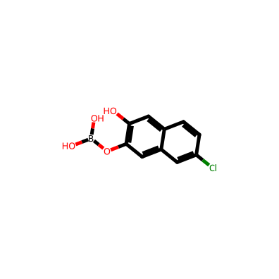 OB(O)Oc1cc2cc(Cl)ccc2cc1O